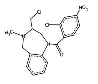 CN1Cc2ccccc2N(C(=O)c2ccc([N+](=O)[O-])cc2Cl)CC1CCl